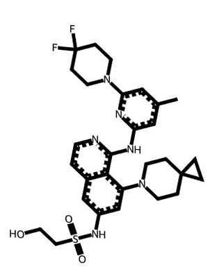 Cc1cc(Nc2nccc3cc(NS(=O)(=O)CCO)cc(N4CCC5(CC4)CC5)c23)nc(N2CCC(F)(F)CC2)c1